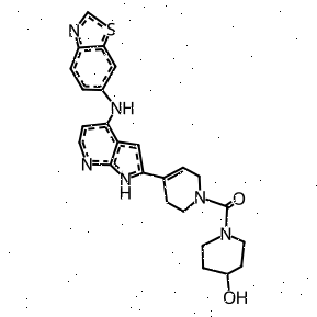 O=C(N1CC=C(c2cc3c(Nc4ccc5ncsc5c4)ccnc3[nH]2)CC1)N1CCC(O)CC1